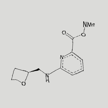 CNOC(=O)c1cccc(NC[C@@H]2CCO2)n1